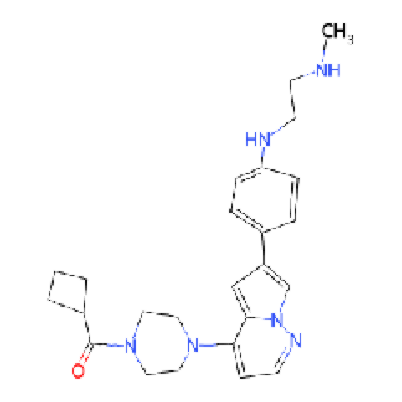 CNCCNc1ccc(-c2cc3c(N4CCN(C(=O)C5CCC5)CC4)ccnn3c2)cc1